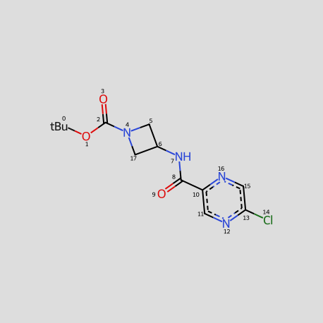 CC(C)(C)OC(=O)N1CC(NC(=O)c2cnc(Cl)cn2)C1